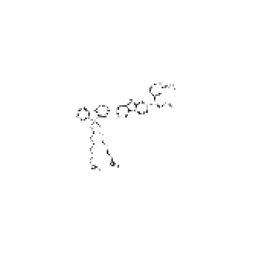 C=C/C=C(\C=C/C)C(=C\C)/c1ccc2c(c1)oc1cc(-c3ccc4c(c3)C(CCCCCCCC)(CCCCCCCC)c3ccccc3-4)ccc12